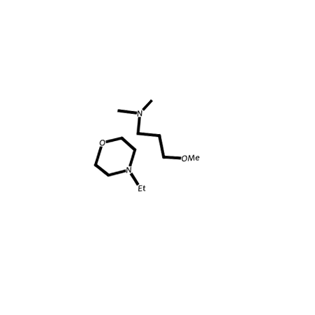 CCN1CCOCC1.COCCCN(C)C